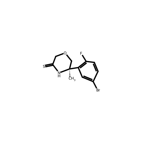 C[C@@]1(c2cc(Br)ccc2F)COCC(=S)N1